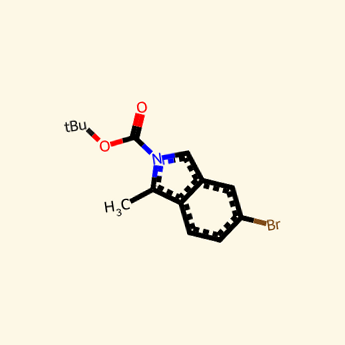 Cc1c2ccc(Br)cc2cn1C(=O)OC(C)(C)C